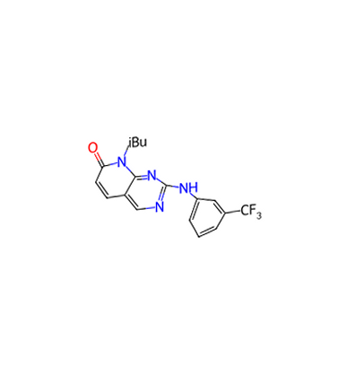 CCC(C)n1c(=O)ccc2cnc(Nc3cccc(C(F)(F)F)c3)nc21